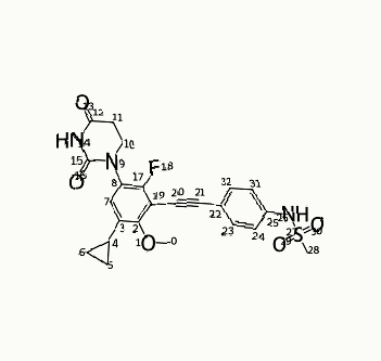 COc1c(C2CC2)cc(N2CCC(=O)NC2=O)c(F)c1C#Cc1ccc(NS(C)(=O)=O)cc1